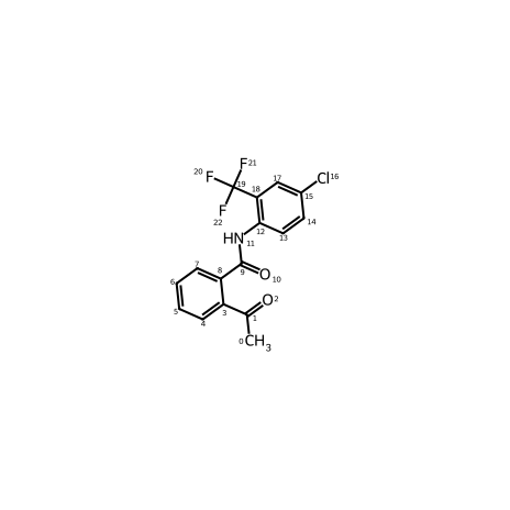 CC(=O)c1ccccc1C(=O)Nc1ccc(Cl)cc1C(F)(F)F